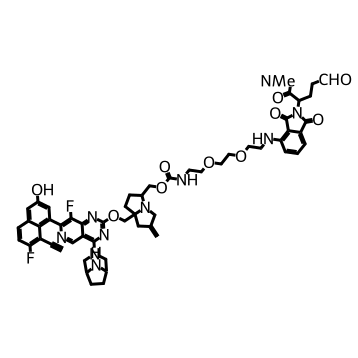 C#Cc1c(F)ccc2cc(O)cc(-c3ncc4c(N5CC6CCC(C5)N6)nc(OCC56CCC(COC(=O)NCCOCCOCCNc7cccc8c7C(=O)N(C(CCC=O)C(=O)NC)C8=O)N5CC(=C)C6)nc4c3F)c12